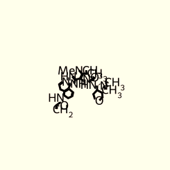 C=CC(=O)NC1CC=CC2=C1CC=CN=C2NC(=N)C1=C(NC)C(C)(C)N(C(=O)N[C@H](CN(C)C)C2CCOCC2)C1